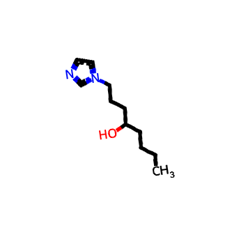 CCCCC(O)CCCn1ccnc1